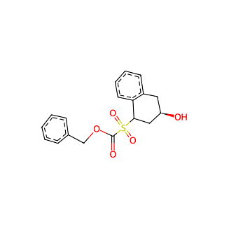 O=C(OCc1ccccc1)S(=O)(=O)C1C[C@H](O)Cc2ccccc21